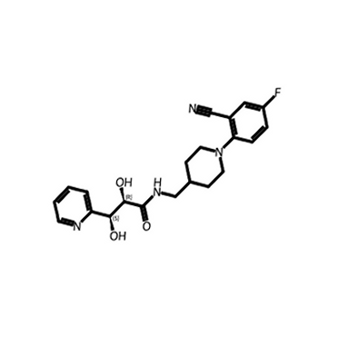 N#Cc1cc(F)ccc1N1CCC(CNC(=O)[C@H](O)[C@@H](O)c2ccccn2)CC1